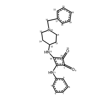 O=c1c(Nc2ccccc2)c(NC2CCN(Cc3ccccc3)CC2)c1=O